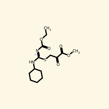 CCOC(=O)/N=C(/NC1CCCCC1)SCC(=O)C(=O)OC